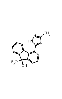 Cc1n[nH]c(-c2cccc3c2-c2ccccc2C3(O)C(F)(F)F)n1